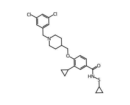 O=C(NSC1CC1)c1ccc(OCC2CCN(Cc3cc(Cl)cc(Cl)c3)CC2)c(C2CC2)c1